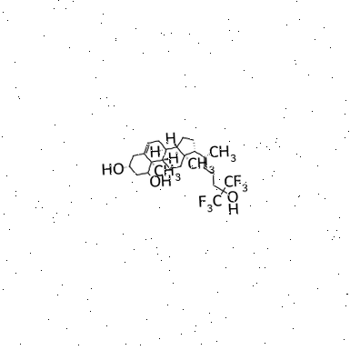 C[C@H](CCCC(O)(C(F)(F)F)C(F)(F)F)[C@H]1CC[C@H]2[C@@H]3CC=C4C[C@@H](O)CC(O)[C@]4(C)[C@H]3CC[C@]12C